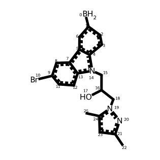 Bc1ccc2c(c1)c1cc(Br)ccc1n2CC(O)Cn1nc(C)cc1C